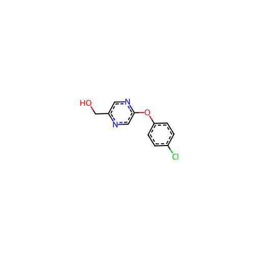 OCc1cnc(Oc2ccc(Cl)cc2)cn1